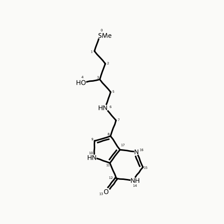 CSCCC(O)CNCc1c[nH]c2c(=O)[nH]cnc12